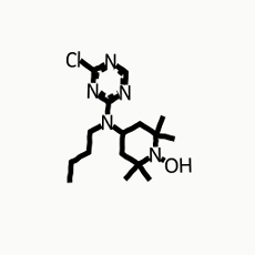 CCCCN(c1ncnc(Cl)n1)C1CC(C)(C)N(O)C(C)(C)C1